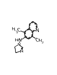 Cc1c(NN2C=NCC2)cc(C)c2ncccc12